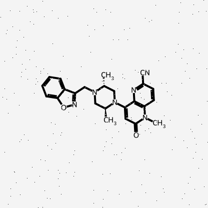 C[C@@H]1CN(c2cc(=O)n(C)c3ccc(C#N)nc23)[C@@H](C)CN1Cc1noc2ccccc12